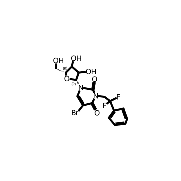 O=c1c(Br)cn([C@@H]2O[C@H](CO)C(O)C2O)c(=O)n1CC(F)(F)c1ccccc1